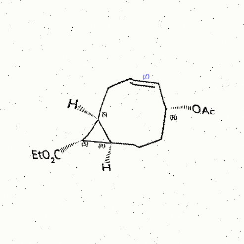 CCOC(=O)[C@H]1[C@@H]2CC[C@@H](OC(C)=O)/C=C\C[C@@H]21